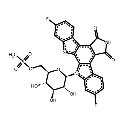 CS(=O)(=O)OC[C@H]1O[C@@H](n2c3cc(F)ccc3c3c4c(c5c6ccc(F)cc6[nH]c5c32)C(=O)NC4=O)[C@H](O)[C@@H](O)[C@@H]1O